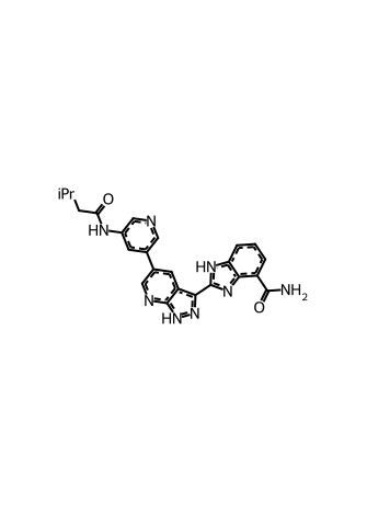 CC(C)CC(=O)Nc1cncc(-c2cnc3[nH]nc(-c4nc5c(C(N)=O)cccc5[nH]4)c3c2)c1